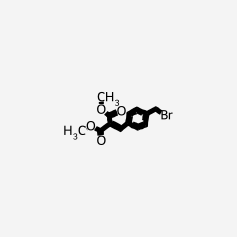 COC(=O)C(=Cc1ccc(CBr)cc1)C(=O)OC